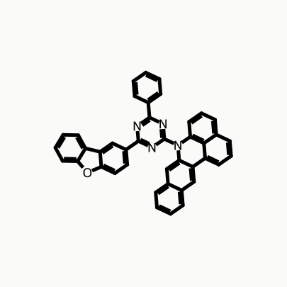 c1ccc(-c2nc(-c3ccc4oc5ccccc5c4c3)nc(N3c4cc5ccccc5cc4-c4cccc5cccc3c45)n2)cc1